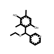 CCOC(c1cccnc1)c1c(O)cc(C)c(O)c1C